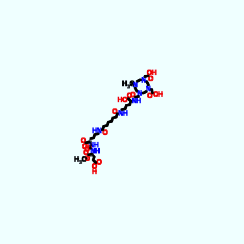 COC(=O)[C@H](CCC(=O)O)NC(=O)N[C@@H](CCCCNC(=O)CCCCCCC(=O)NCCCCC(NC(=O)CN1CCN(C)CCN(CC(=O)O)CCN(CC(=O)O)CC1)C(=O)O)C(=O)O